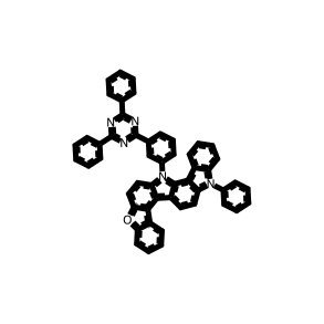 c1ccc(-c2nc(-c3ccccc3)nc(-c3cccc(-n4c5ccc6oc7ccccc7c6c5c5ccc6c(c7ccccc7n6-c6ccccc6)c54)c3)n2)cc1